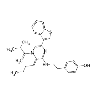 C=C(C(C)C)N1C=C(c2csc3ccccc23)N=C(NCCc2ccc(O)cc2)/C1=C/CCC